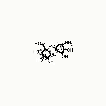 NC1C[C@@H](N)[C@@H](O)C(O)[C@@H]1O[C@H]1OC(CO)[C@@H](O)[C@H](O)C1N